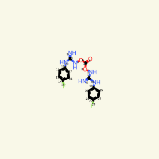 N=C(NOC(=O)ONC(=N)Nc1ccc(F)cc1)Nc1ccc(F)cc1